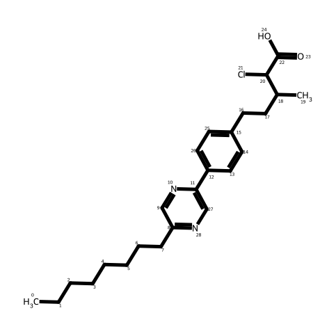 CCCCCCCCc1cnc(-c2ccc(CCC(C)C(Cl)C(=O)O)cc2)cn1